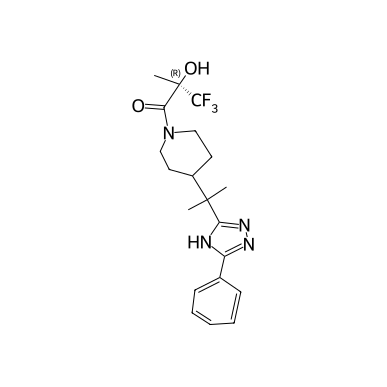 CC(C)(c1nnc(-c2ccccc2)[nH]1)C1CCN(C(=O)[C@@](C)(O)C(F)(F)F)CC1